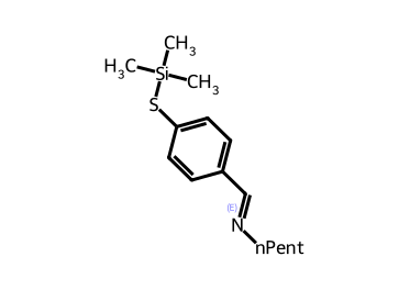 CCCCC/N=C/c1ccc(S[Si](C)(C)C)cc1